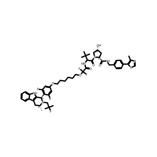 Cc1ncsc1-c1ccc(CNC(=O)[C@@H]2C[C@@H](O)CN2C(=O)C(NC(=O)C(F)(F)OCCCCCCOc2cc(F)c([C@@H]3c4[nH]c5ccccc5c4C[C@@H](C)N3CC(C)(C)F)c(F)c2)C(C)(C)C)cc1